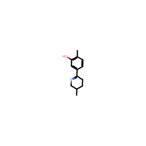 Cc1ccc(C2=NCC(C)CC2)cc1O